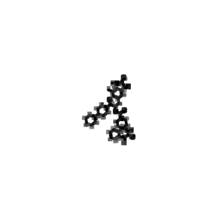 Cc1cc(CC(OC(=O)N2CCC3(CC2)NC(=O)Nc2ccccc23)C(=O)N2CCC(N3CCCCC3)CC2)cc2[nH]c(=O)[nH]c12